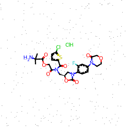 CC(C)(N)C(=O)OCC(=O)N(C[C@H]1CN(c2ccc(N3CCOCC3=O)cc2F)C(=O)O1)C(=O)c1ccc(Cl)s1.Cl